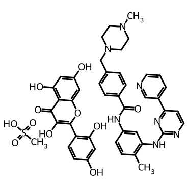 CS(=O)(=O)O.Cc1ccc(NC(=O)c2ccc(CN3CCN(C)CC3)cc2)cc1Nc1nccc(-c2cccnc2)n1.O=c1c(O)c(-c2ccc(O)cc2O)oc2cc(O)cc(O)c12